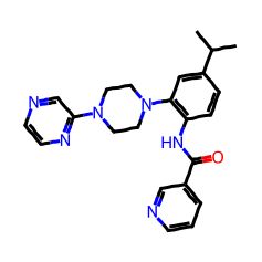 CC(C)c1ccc(NC(=O)c2cccnc2)c(N2CCN(c3cnccn3)CC2)c1